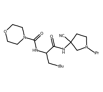 CC(C)N1CCC(C#N)(NC(=O)C(CC(C)(C)C)NC(=O)N2CCOCC2)C1